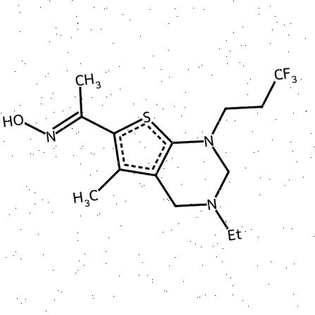 CCN1Cc2c(sc(C(C)=NO)c2C)N(CCC(F)(F)F)C1